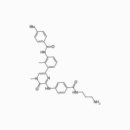 Cc1c(NC(=O)c2ccc(C(C)(C)C)cc2)cccc1-c1cn(C)c(=O)c(Nc2ccc(C(=O)NCCCN)cc2)n1